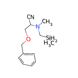 C[SiH2]CN(C)C(C#N)COCc1ccccc1